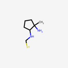 CC1(N)CCCC1NCS